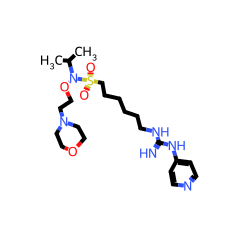 CC(C)N(OCCN1CCOCC1)S(=O)(=O)CCCCCCNC(=N)Nc1ccncc1